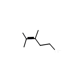 [CH2]/C(C)=C(\C)CCCCC